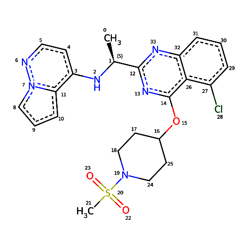 C[C@H](Nc1ccnn2cccc12)c1nc(OC2CCN(S(C)(=O)=O)CC2)c2c(Cl)cccc2n1